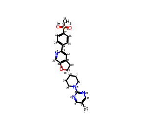 CCc1cnc(N2CCC([C@H]3Cc4cc(-c5ccc(S(C)(=O)=O)cc5)ncc4O3)CC2)nc1